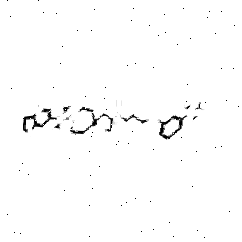 CC(C)S(=O)(=O)c1cccc(OCCCN[C@H]2COC3(CCN(S(=O)(=O)c4cnc5cc[nH]c5c4)CC3)C2)c1